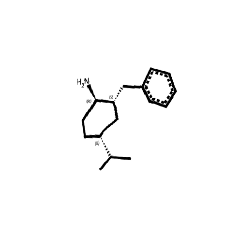 CC(C)[C@@H]1CC[C@@H](N)[C@H](Cc2ccccc2)C1